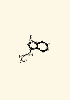 Cn1cc(NNC=O)c2ccccc21